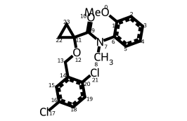 COc1ccccc1N(C)C(=O)C1(OCc2cc(Cl)ccc2Cl)CC1